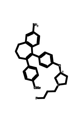 COc1ccc(C2=C(c3ccc(O[C@H]4CCN(CCCF)C4)cc3)c3ccc(N)cc3CCC2)cc1